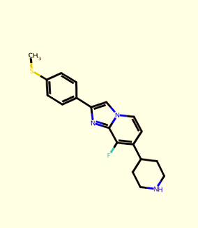 CSc1ccc(-c2cn3ccc(C4CCNCC4)c(F)c3n2)cc1